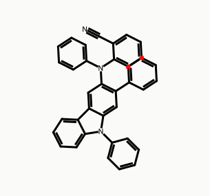 N#Cc1ccccc1N(c1ccccc1)c1cc2c3ccccc3n(-c3ccccc3)c2cc1-c1ccccc1